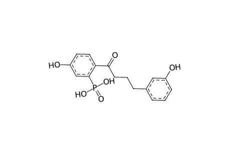 O=C(CCCc1cccc(O)c1)c1ccc(O)cc1P(=O)(O)O